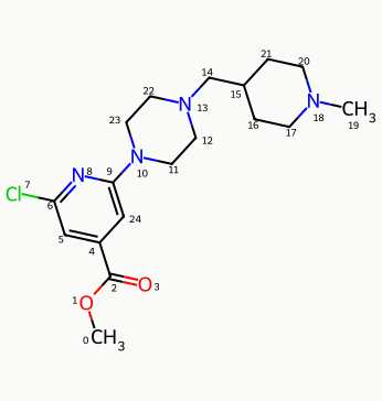 COC(=O)c1cc(Cl)nc(N2CCN(CC3CCN(C)CC3)CC2)c1